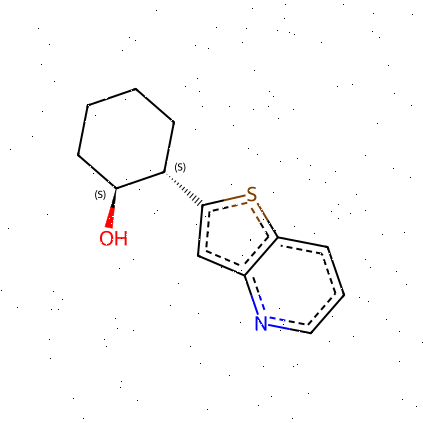 O[C@H]1CCCC[C@@H]1c1cc2ncccc2s1